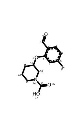 O=Cc1ccc(F)cc1OC1CCCN(C(=O)O)C1